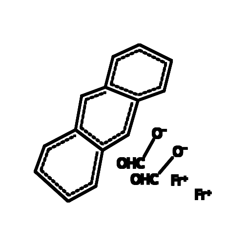 O=C[O-].O=C[O-].[Fr+].[Fr+].c1ccc2cc3ccccc3cc2c1